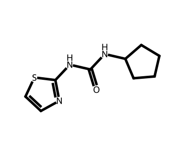 O=C(Nc1nccs1)NC1CCCC1